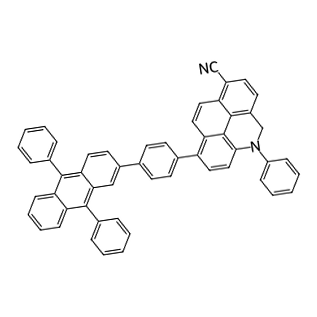 N#Cc1ccc2c3c1ccc1c(-c4ccc(-c5ccc6c(-c7ccccc7)c7ccccc7c(-c7ccccc7)c6c5)cc4)ccc(c13)N(c1ccccc1)C2